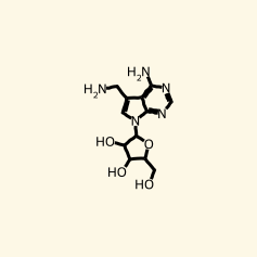 NCc1cn(C2OC(CO)C(O)C2O)c2ncnc(N)c12